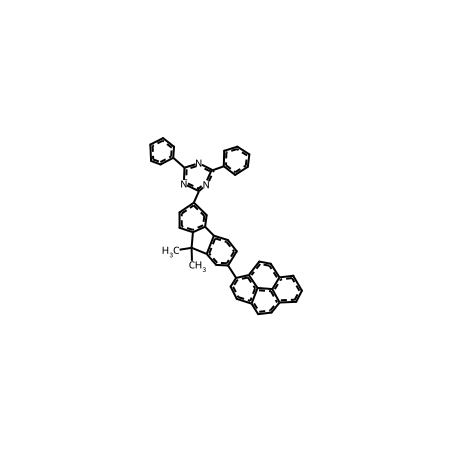 CC1(C)c2ccc(-c3nc(-c4ccccc4)nc(-c4ccccc4)n3)cc2-c2ccc(-c3ccc4ccc5cccc6ccc3c4c56)cc21